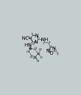 Cc1nc(CCNc2ncc(C#N)c(N[C@@H]3CC[C@H](C)C(C)(C)C3)n2)no1